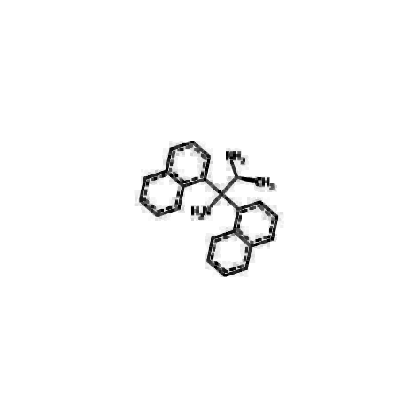 C[C@H](N)C(N)(c1cccc2ccccc12)c1cccc2ccccc12